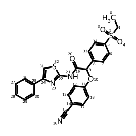 CCS(=O)(=O)c1ccc(C(Oc2ccc(C#N)cc2)C(=O)Nc2nc(-c3ccccc3)cs2)cc1